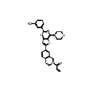 C=CC(=O)N1CCc2ccc(-c3cc4nc(-c5cccc(O)c5)nc(N5CCOCC5)c4s3)cc2C1